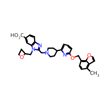 Cc1ccc(COc2cccc(C3CCN(Cc4nc5ccc(C(=O)O)cc5n4CC4CCO4)CC3)n2)c2occc12